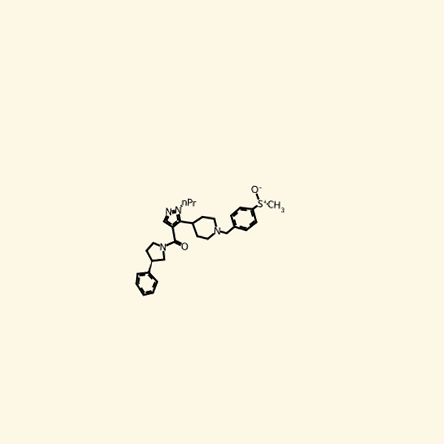 CCCn1ncc(C(=O)N2CC[C@H](c3ccccc3)C2)c1C1CCN(Cc2ccc([S+](C)[O-])cc2)CC1